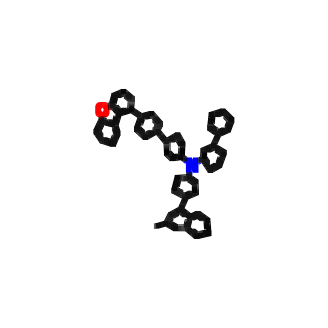 Cc1cc(-c2ccc(N(c3ccc(-c4ccc(-c5cccc6oc7ccccc7c56)cc4)cc3)c3cccc(-c4ccccc4)c3)cc2)c2ccccc2c1